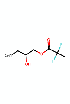 CC(=O)OCC(O)COC(=O)C(C)(F)F